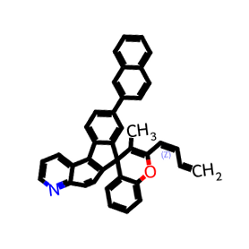 C=C/C=C\C1=C(C)C2(c3ccccc3O1)c1cc(-c3ccc4ccccc4c3)ccc1-c1c2ccc2ncccc12